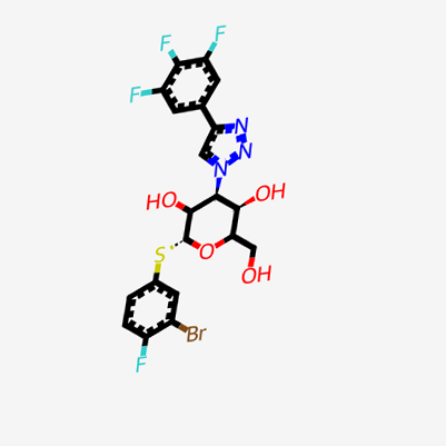 OCC1O[C@H](Sc2ccc(F)c(Br)c2)C(O)[C@@H](n2cc(-c3cc(F)c(F)c(F)c3)nn2)[C@H]1O